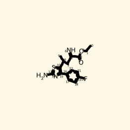 CCOC(=O)C(=N)CC(C)c1sc(N)nc1-c1ccc(F)cc1